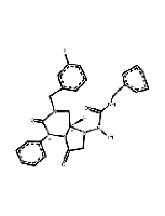 CCCN(C(=O)NCc1ccccc1)N1CC(=O)N2[C@@H](c3ccccc3)C(=O)N(Cc3cccc(F)c3)C[C@@H]21